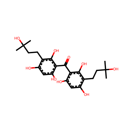 CC(C)(O)CCc1c(O)cc(O)c(C(=O)c2c(O)cc(O)c(CCC(C)(C)O)c2O)c1O